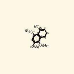 COc1cc(OC)c2c(c1OC)CCC=C2C#N